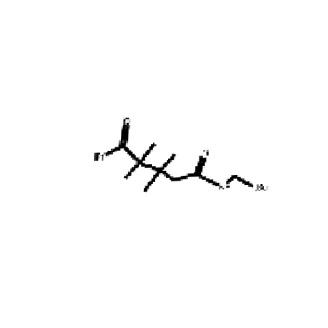 CC(C)C(=O)C(C)(C)C(C)(C)CC(=O)NCC(C)(C)C